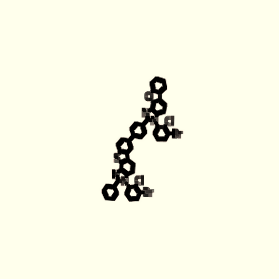 Clc1c(Br)cccc1-n1c(-c2ccc(-c3ccc4sc5c(ccc6c5nc(-c5ccccc5)n6-c5cccc(Br)c5Cl)c4c3)cc2)nc2c3oc4ccccc4c3ccc21